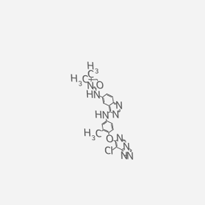 Cc1cc(Nc2ncnc3ccc(NC4=NC(C)(C)CO4)cc23)ccc1Oc1ncn2cnnc2c1Cl